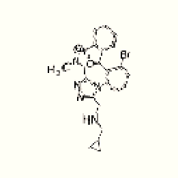 CN(C)Cc1nnc(CNCC2CC2)n1-c1cccc(Br)c1C(=O)c1ccccc1Cl